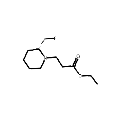 CCOC(=O)CCN1CCCC[C@@H]1CF